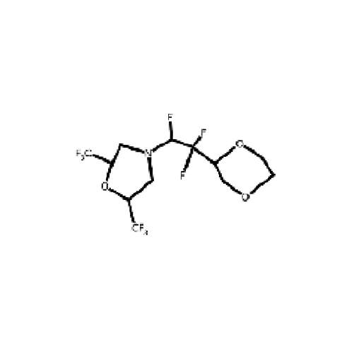 FC(N1CC(C(F)(F)F)OC(C(F)(F)F)C1)C(F)(F)C1COCCO1